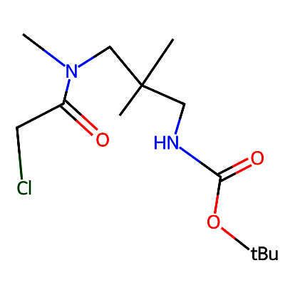 CN(CC(C)(C)CNC(=O)OC(C)(C)C)C(=O)CCl